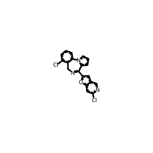 Clc1cc2oc(C3=NCc4c(Cl)cccc4-n4cccc43)cc2cn1